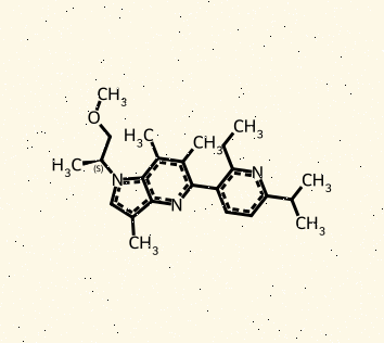 CCc1nc(C(C)C)ccc1-c1nc2c(C)cn([C@@H](C)COC)c2c(C)c1C